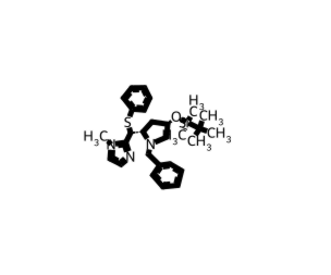 Cn1ccnc1C(Sc1ccccc1)[C@@H]1C[C@@H](O[Si](C)(C)C(C)(C)C)CN1Cc1ccccc1